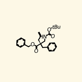 C=CC[C@@](CNC(=O)OC(C)(C)C)(Cc1ccccc1)C(=O)OCc1ccccc1